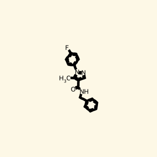 Cc1c(C(=O)NCc2ccccc2)cnn1-c1ccc(F)cc1